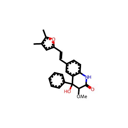 COC1C(=O)Nc2ccc(C=Cc3cc(C)c(C)o3)cc2C1(O)c1ccccc1